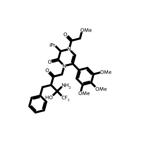 COCC(=O)N1C=C(c2cc(OC)c(OC)c(OC)c2)N(CC(=O)C(Cc2ccccc2)C(N)(O)C(F)(F)F)C(=O)C1C(C)C